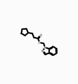 O=C(CCC1CCCC1)OCn1ncc2ccccc21